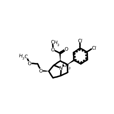 COCO[C@@H]1CC2C[C@H](c3ccc(Cl)c(Cl)c3)[C@H](C(=O)OC)C1N2C